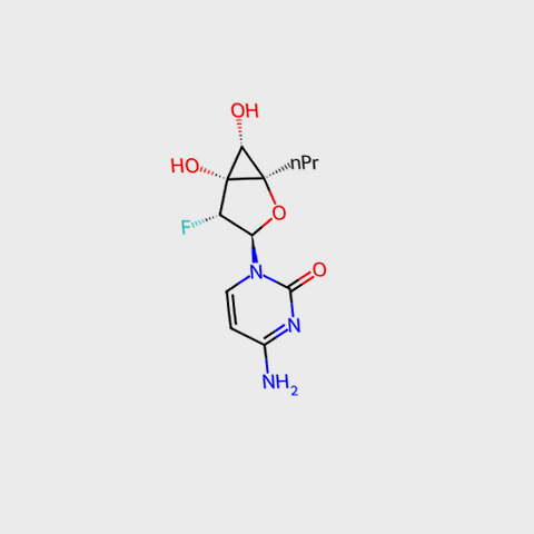 CCC[C@]12O[C@@H](n3ccc(N)nc3=O)[C@H](F)[C@@]1(O)[C@@H]2O